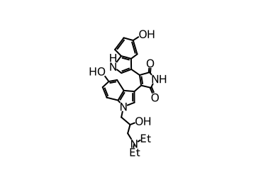 CCN(CC)CC(O)Cn1cc(C2=C(c3c[nH]c4ccc(O)cc34)C(=O)NC2=O)c2cc(O)ccc21